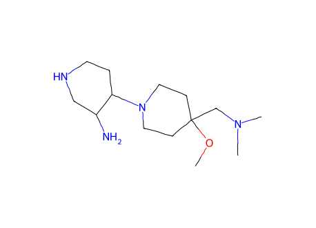 COC1(CN(C)C)CCN(C2CCNCC2N)CC1